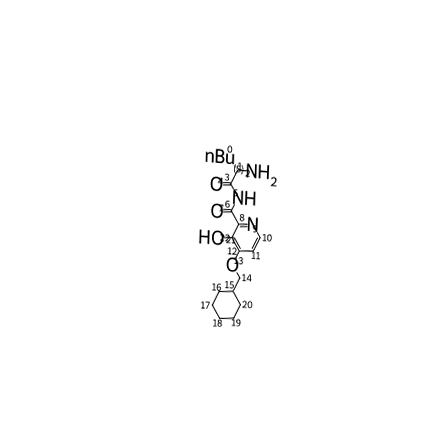 CCCC[C@H](N)C(=O)NC(=O)c1nccc(OCC2CCCCC2)c1O